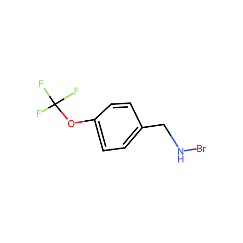 FC(F)(F)Oc1ccc(CNBr)cc1